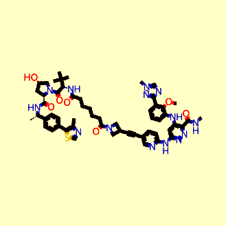 CNC(=O)c1nnc(Nc2ccc(C#CC3CN(C(=O)CCCCCC(=O)N[C@H](C(=O)N4C[C@H](O)C[C@H]4C(=O)N[C@@H](C)c4ccc(-c5scnc5C)cc4)C(C)(C)C)C3)cn2)cc1Nc1cccc(-c2ncn(C)n2)c1OC